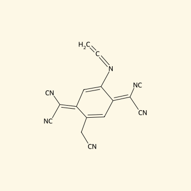 [C-]#[N+]/C(C#N)=c1/cc(CC#N)/c(=C(\C#N)[N+]#[C-])cc1N=C=C